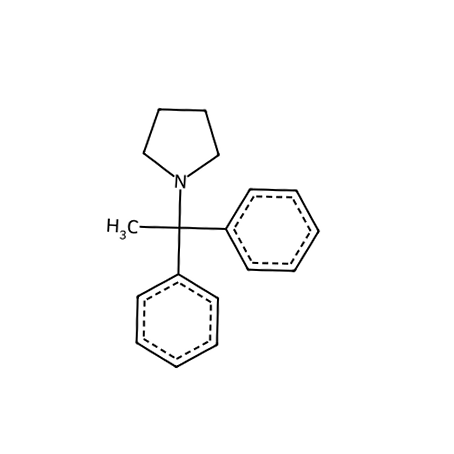 CC(c1ccccc1)(c1ccccc1)N1CCCC1